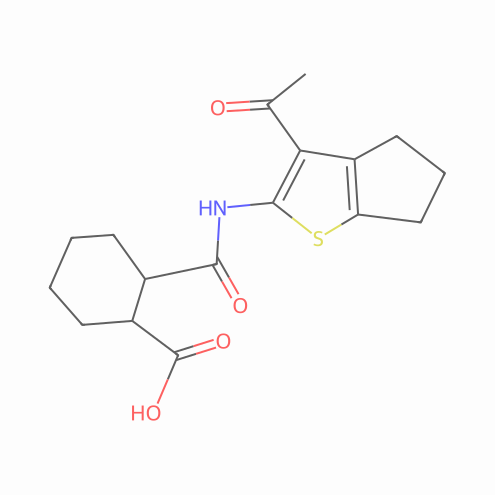 CC(=O)c1c(NC(=O)C2CCCCC2C(=O)O)sc2c1CCC2